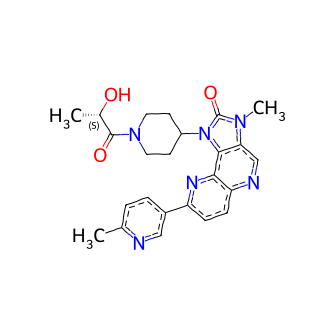 Cc1ccc(-c2ccc3ncc4c(c3n2)n(C2CCN(C(=O)[C@H](C)O)CC2)c(=O)n4C)cn1